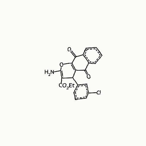 CCOC(=O)C1=C(N)OC2=C(C(=O)c3ccccc3C2=O)C1c1cccc(Cl)c1